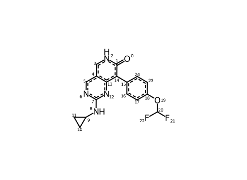 O=c1[nH]cc2cnc(NC3CC3)nc2c1-c1ccc(OC(F)F)cc1